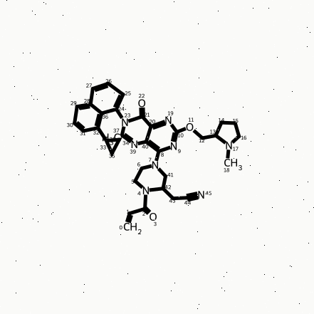 C=CC(=O)N1CCN(c2nc(OCC3CCCN3C)nc3c(=O)n(-c4cccc5cccc(C6CC6)c45)c(C)nc23)CC1CC#N